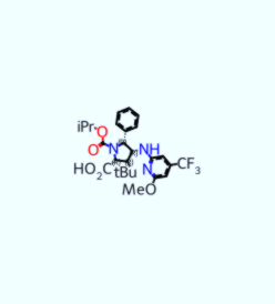 COc1cc(C(F)(F)F)cc(N[C@@H]2[C@@H](C(C)(C)C)[C@H](C(=O)O)N(C(=O)OC(C)C)[C@@H]2c2ccccc2)n1